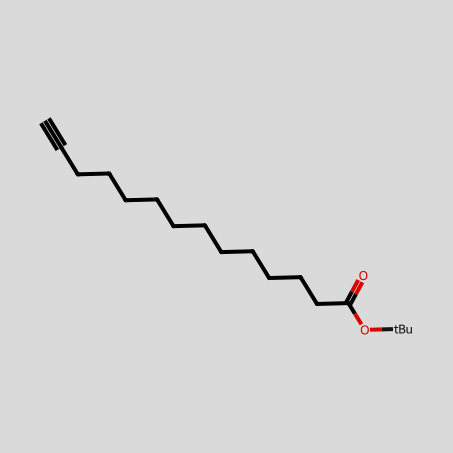 C#CCCCCCCCCCCCC(=O)OC(C)(C)C